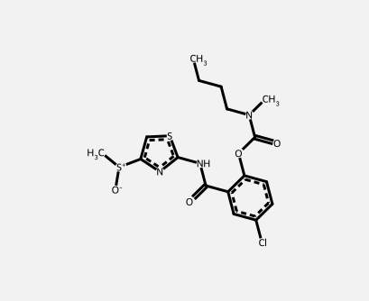 CCCCN(C)C(=O)Oc1ccc(Cl)cc1C(=O)Nc1nc([S+](C)[O-])cs1